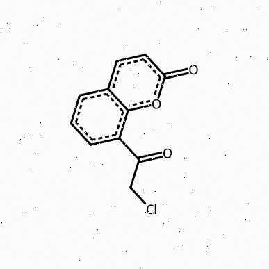 O=C(CCl)c1cccc2ccc(=O)oc12